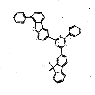 CC1(C)c2ccccc2-c2ccc(-c3nc(-c4ccccc4)nc(-c4ccc5oc6c(-c7ccccc7)cccc6c5c4)n3)cc21